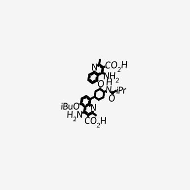 Cc1nc2cccc(OC3CC(c4ccc(OCC(C)C)c5c(N)c(C(=O)O)c(C)nc45)CCC3NC(=O)C(C)C)c2c(N)c1C(=O)O